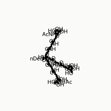 CCCCCCCCCCC(=O)NC(COCCC(=O)NCCCNC(=O)CCCCOC(OC(CO)C(C)O)C(O)NC(C)=O)(COCCC(=O)NCCCNC(=O)CCCCOC1OC(CO)C(O)C(O)C1NC(C)=O)COCCC(=O)NCCCNC(=O)CCCCOC1OC(CO)C(O)C(O)C1NC(C)=O